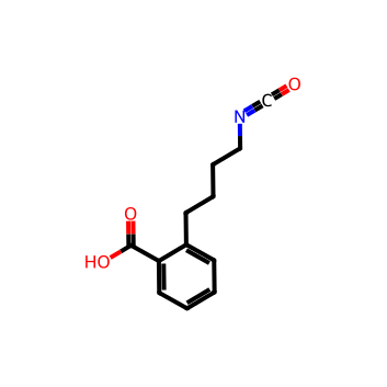 O=C=NCCCCc1ccccc1C(=O)O